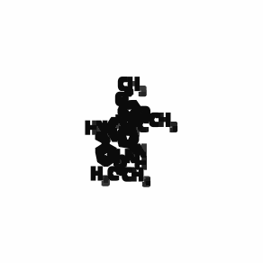 CCOc1cc(OC(C)C)c(F)c(N(Cc2nc(-c3cccc(OC(C)C)c3)c[nH]2)c2ccc(C(=N)N)cc2)c1